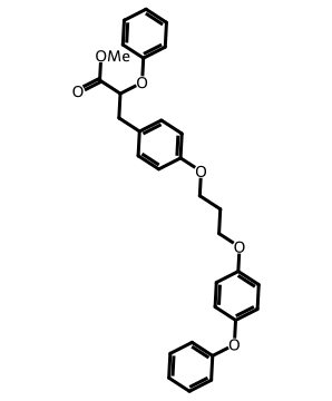 COC(=O)C(Cc1ccc(OCCCOc2ccc(Oc3ccccc3)cc2)cc1)Oc1ccccc1